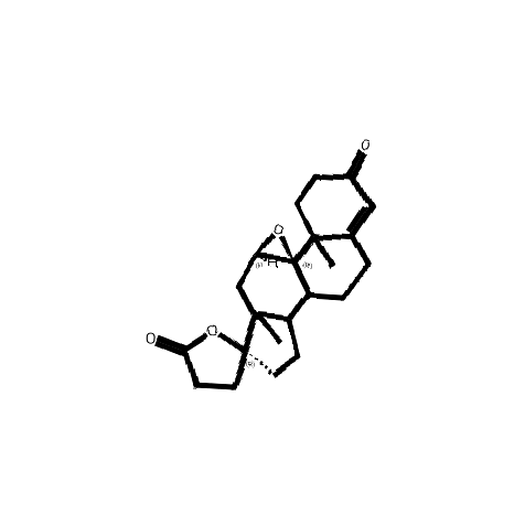 CC12C[C@H]3O[C@@]34C(CCC3=CC(=O)CCC34C)C1CC[C@@]21CCC(=O)O1